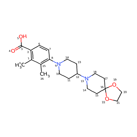 Cc1c(C(=O)O)ccc(N2CCC(N3CCC4(CC3)OCCO4)CC2)c1C